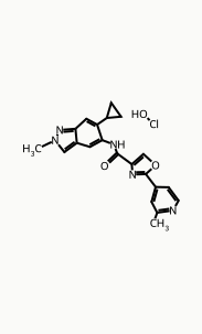 Cc1cc(-c2nc(C(=O)Nc3cc4cn(C)nc4cc3C3CC3)co2)ccn1.OCl